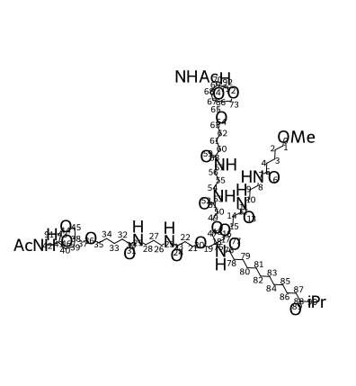 COCCCCC(=O)NCCCNC(=O)CCOCC(COCCC(=O)NCCCNC(=O)CCCCOC[C@@]12CC[C@@H](NC(C)=O)[C@H](OC1)O2)(COCCC(=O)NCCCNC(=O)CCCCOC[C@@]12CC[C@@H](NC(C)=O)[C@H](OC1)O2)NC(=O)CCCCCCCCCCC(=O)C(C)C